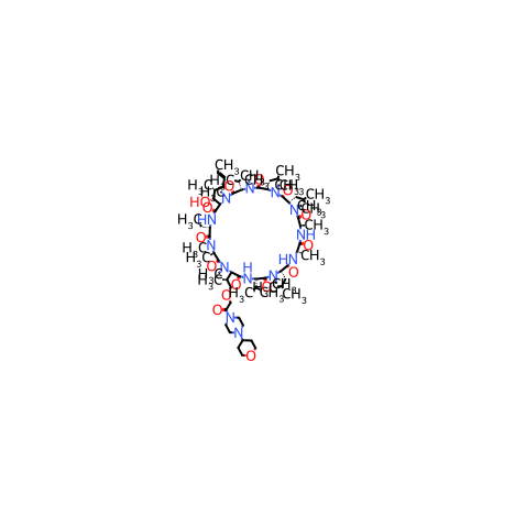 C/C=C/C[C@@H](C)[C@@H](O)[C@H]1C(=O)N[C@@H](CC)C(=O)N(C)[C@H](C)C(=O)N(C)[C@@H]([C@H](C)COCC(=O)N2CCN(C3CCOCC3)CC2)C(=O)N[C@@H](C(C)C)C(=O)N(C)[C@@H](CC(C)C)C(=O)N[C@@H](C)C(=O)N[C@H](C)C(=O)N(C)[C@@H](CC(C)C)C(=O)N(C)[C@@H](CC(C)C)C(=O)N(C)[C@@H](C(C)C)C(=O)N1C